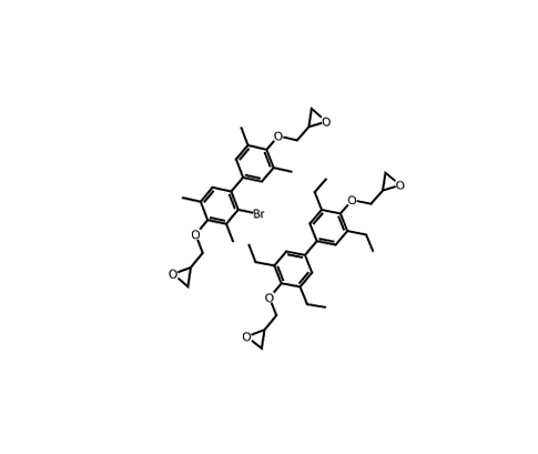 CCc1cc(-c2cc(CC)c(OCC3CO3)c(CC)c2)cc(CC)c1OCC1CO1.Cc1cc(-c2cc(C)c(OCC3CO3)c(C)c2Br)cc(C)c1OCC1CO1